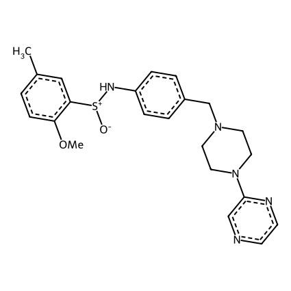 COc1ccc(C)cc1[S+]([O-])Nc1ccc(CN2CCN(c3cnccn3)CC2)cc1